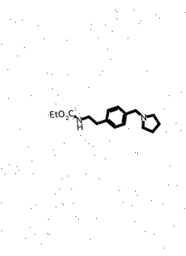 CCOC(=O)NCCc1ccc(CN2CCCC2)cc1